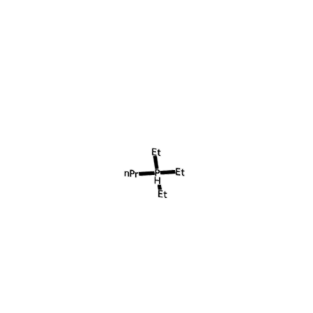 CCC[PH](CC)(CC)CC